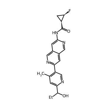 CCC(O)c1cc(C)c(-c2cc3cnc(NC(=O)[C@H]4C[C@H]4F)cc3cn2)cn1